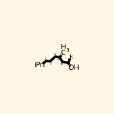 CC(C)CCCC(C)CC(O)I